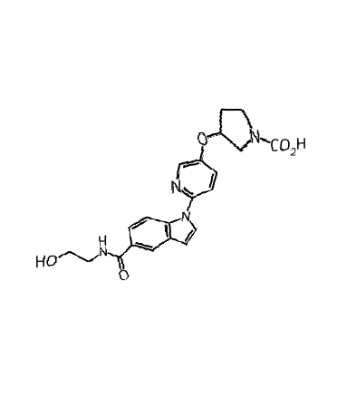 O=C(NCCO)c1ccc2c(ccn2-c2ccc(OC3CCN(C(=O)O)C3)cn2)c1